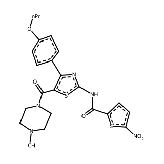 CCCOc1ccc(-c2nc(NC(=O)c3ccc([N+](=O)[O-])s3)sc2C(=O)N2CCN(C)CC2)cc1